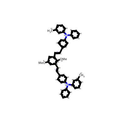 COc1cc(/C=C/c2ccc(N(c3ccccc3)c3cccc(C)c3)cc2)c(OC)c(/C=C/c2ccc(N(c3ccccc3)c3cccc(C)c3)cc2)c1